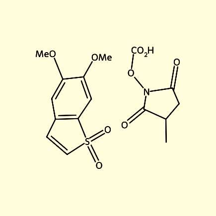 CC1CC(=O)N(OC(=O)O)C1=O.COc1cc2c(cc1OC)S(=O)(=O)C=C2